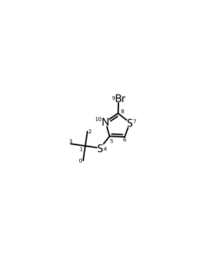 CC(C)(C)Sc1csc(Br)n1